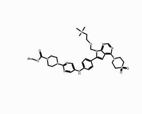 CC(C)(C)OC(=O)N1CCN(c2ncc(Nc3ccc(-c4cc5c(N6CCS(=O)(=O)CC6)ncnc5n4COCC[Si](C)(C)C)cc3)cn2)CC1